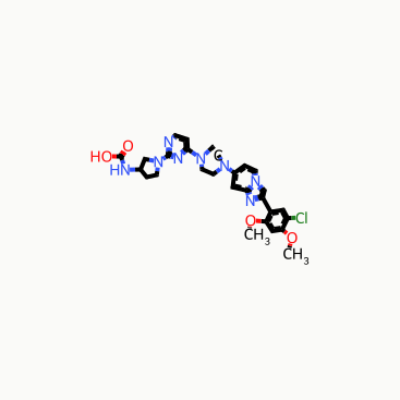 COc1cc(OC)c(-c2cn3ccc(N4CCN(c5ccnc(N6CCC(NC(=O)O)C6)n5)CC4)cc3n2)cc1Cl